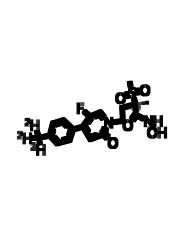 [2H]C([2H])([2H])c1ccc(-c2cc(=O)n(CC[C@](C)(C(=O)NO)S(C)(=O)=O)cc2F)cc1